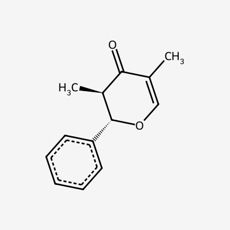 CC1=CO[C@H](c2ccccc2)[C@@H](C)C1=O